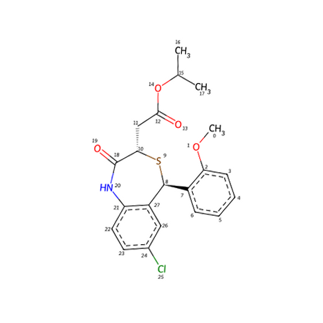 COc1ccccc1[C@@H]1S[C@@H](CC(=O)OC(C)C)C(=O)Nc2ccc(Cl)cc21